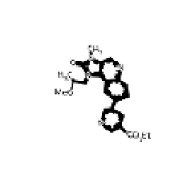 CCOC(=O)c1cncc(-c2ccc3ncc4c(c3c2)n(C[C@H](C)OC)c(=O)n4C)c1